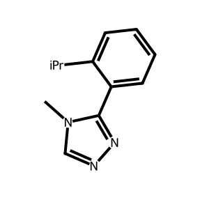 CC(C)c1ccccc1-c1nncn1C